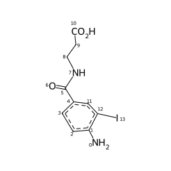 Nc1ccc(C(=O)NCCC(=O)O)cc1I